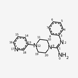 NC(=Nc1ccccc1)N1CCN(c2cccnc2)CC1